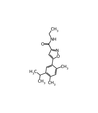 CCNC(=O)c1cc(-c2cc(C(C)C)c(C)cc2C)on1